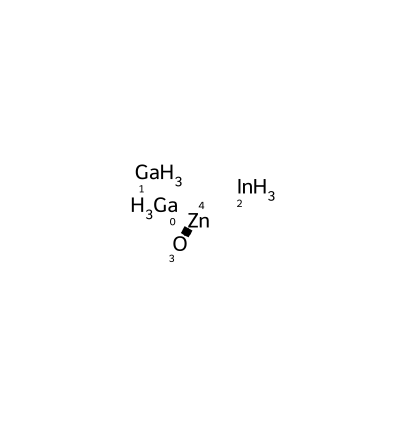 [GaH3].[GaH3].[InH3].[O]=[Zn]